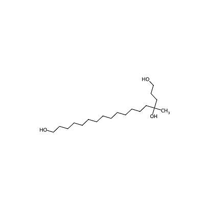 CC(O)(CCCO)CCCCCCCCCCCCCCO